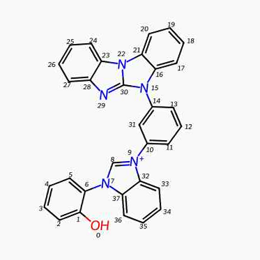 Oc1ccccc1-n1c[n+](-c2cccc(-n3c4ccccc4n4c5ccccc5nc34)c2)c2ccccc21